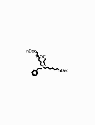 CCCCCCCCCCCCCCCC[N+](CCCCCCCCCCCCCCCC)(CCCC(=O)[O-])CCc1ccccc1